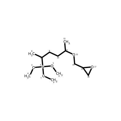 CO[Si](OC)(OC)C(C)CCC(C)OCC1CO1